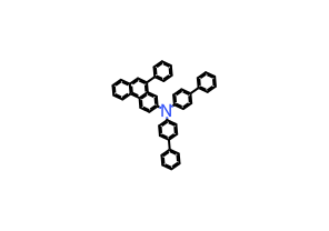 c1ccc(-c2ccc(N(c3ccc(-c4ccccc4)cc3)c3ccc4c(c3)c(-c3ccccc3)cc3ccccc34)cc2)cc1